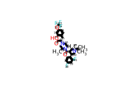 C[C@H]1CN([C@@H](Cc2ccc(OC(F)(F)F)cc2)C(=O)O)CCN1C(=O)[C@@H]1CN(C(C)(C)C)C[C@H]1c1ccc(F)cc1F